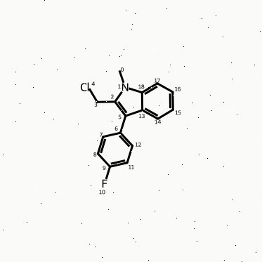 Cn1c(CCl)c(-c2ccc(F)cc2)c2ccccc21